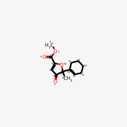 COC(=O)C1=CC(=O)C(C)(C2=CCCCC2)O1